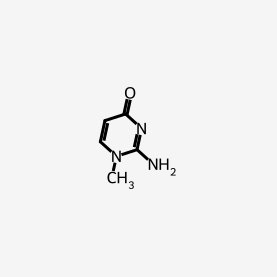 Cn1ccc(=O)nc1N